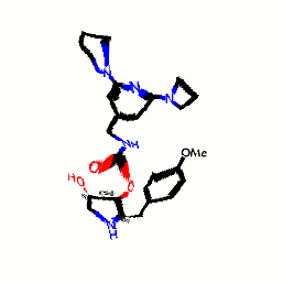 COc1ccc(C[C@H]2NC[C@H](O)[C@H]2OC(=O)NCc2cc(N3CCC3)nc(N3CCC3)c2)cc1